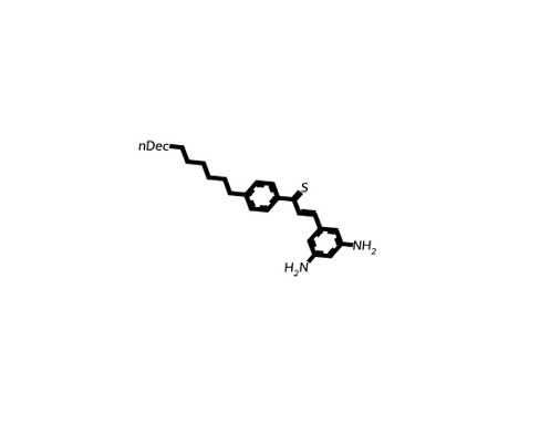 CCCCCCCCCCCCCCCCc1ccc(C(=S)C=Cc2cc(N)cc(N)c2)cc1